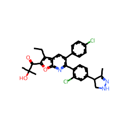 CCc1c(C(=O)C(C)(C)O)oc2nc(-c3ccc(C4CNN=C4C)cc3Cl)c(-c3ccc(Cl)cc3)cc12